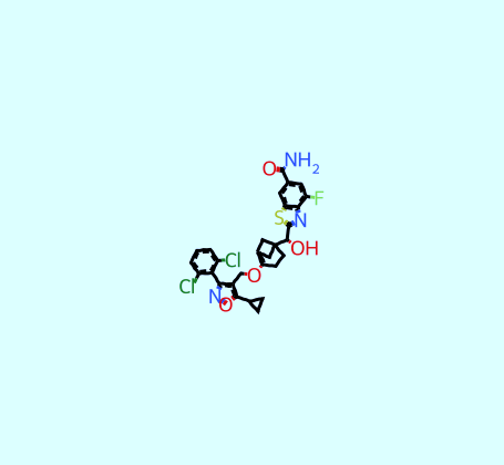 NC(=O)c1cc(F)c2nc(C(O)C34CCC(OCc5c(-c6c(Cl)cccc6Cl)noc5C5CC5)=C(C3)C4)sc2c1